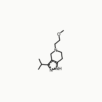 COCCN1CCc2[nH]nc(C(C)C)c2C1